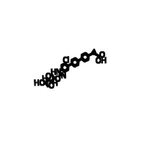 O=C(O)C1CC1c1ccc(-c2ccc(-c3cc4nc(O[C@@H]5CO[C@H]6[C@@H]5OC[C@H]6O)[nH]c4cc3Cl)cc2)cc1